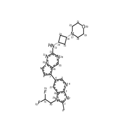 Cc1nc2ncc(-c3ccn4nc(N[C@H]5C[C@@H](N6CCOCC6)C5)ncc34)cc2n1CC(F)F